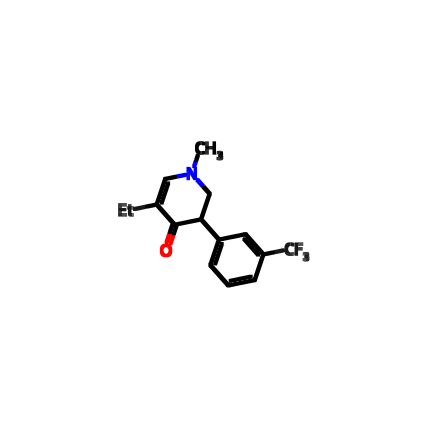 CCC1=CN(C)CC(c2cccc(C(F)(F)F)c2)C1=O